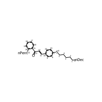 CCCCCCCCCCCCCCCSc1ccc(/C=C/C(=O)c2ccccc2CCCCC)cc1